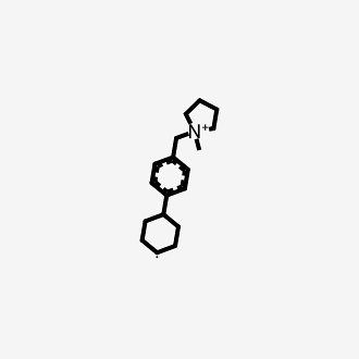 C[N+]1(Cc2ccc(C3CC[CH]CC3)cc2)CCCC1